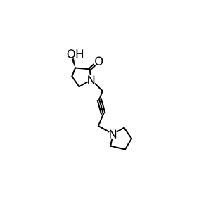 O=C1[C@H](O)CCN1CC#CCN1CCCC1